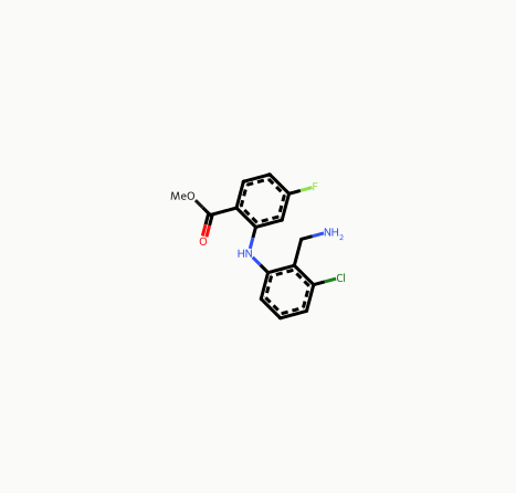 COC(=O)c1ccc(F)cc1Nc1cccc(Cl)c1CN